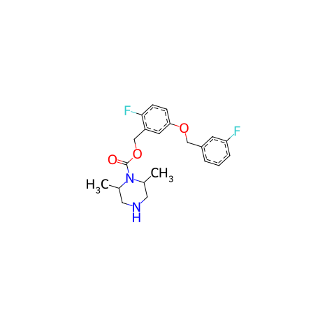 CC1CNCC(C)N1C(=O)OCc1cc(OCc2cccc(F)c2)ccc1F